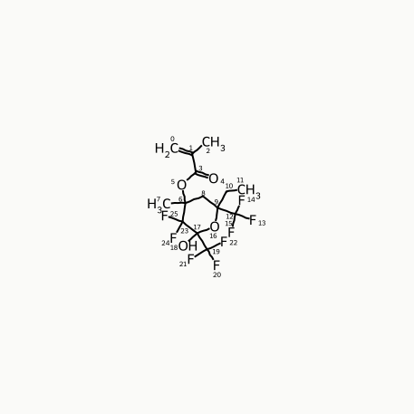 C=C(C)C(=O)OC1(C)CC(CC)(C(F)(F)F)OC(O)(C(F)(F)F)C1(F)F